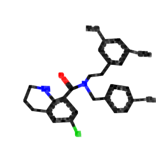 COc1cc(CCN(Cc2ccc(C(C)(C)C)cc2)C(=O)c2cc(Cl)cc3c2NCCC3)cc(OC)c1